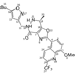 COc1ccc(-c2nc(C(=O)NCc3cc(C(C)(C)C)on3)c([C@H](C)N)o2)c2ccc(C(F)(F)F)nc12